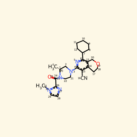 C[C@@H]1CN(c2nc(C3CCCCC3)c3c(c2C#N)CCOC3)CCN1C(=O)c1nccn1C